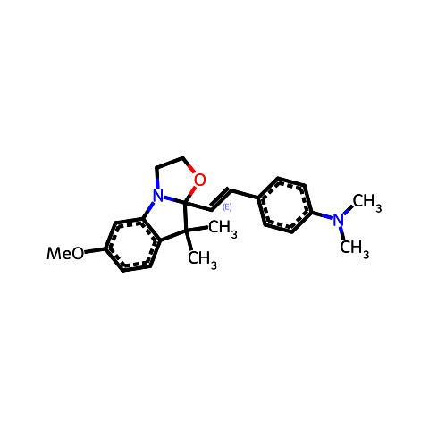 COc1ccc2c(c1)N1CCOC1(/C=C/c1ccc(N(C)C)cc1)C2(C)C